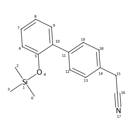 C[Si](C)(C)Oc1ccccc1-c1ccc(CC#N)cc1